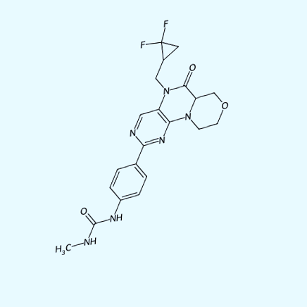 CNC(=O)Nc1ccc(-c2ncc3c(n2)N2CCOCC2C(=O)N3CC2CC2(F)F)cc1